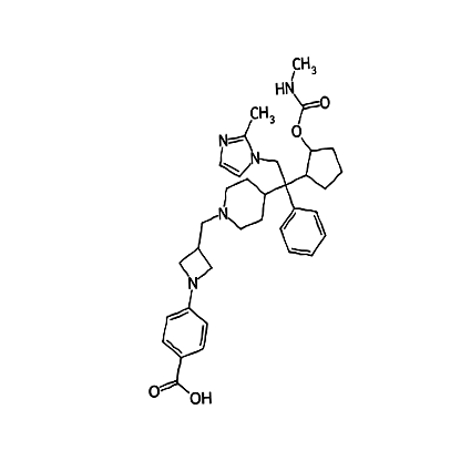 CNC(=O)OC1CCCC1C(Cn1ccnc1C)(c1ccccc1)C1CCN(CC2CN(c3ccc(C(=O)O)cc3)C2)CC1